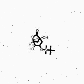 CC(C)(C)[Si](C)(C)OC1C[C@]2(O)C[C@@H](OC2=O)[C@@H]1O